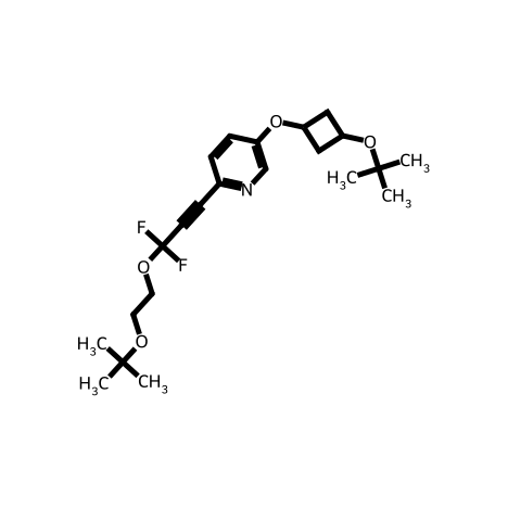 CC(C)(C)OCCOC(F)(F)C#Cc1ccc(OC2CC(OC(C)(C)C)C2)cn1